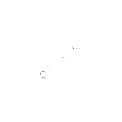 CNC(=O)CCCCCCCCc1c[nH]cn1